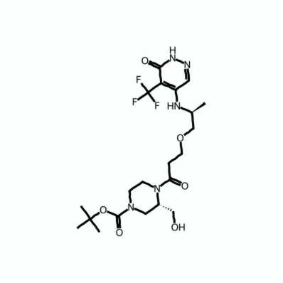 C[C@@H](COCCC(=O)N1CCN(C(=O)OC(C)(C)C)C[C@H]1CO)Nc1cn[nH]c(=O)c1C(F)(F)F